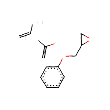 C=C(O)C(=O)OCC.C=CC(=O)O.c1ccc(OCC2CO2)cc1